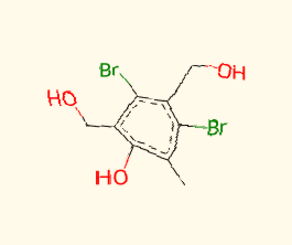 Cc1c(O)c(CO)c(Br)c(CO)c1Br